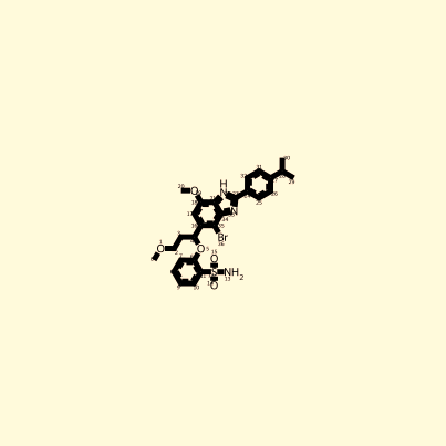 COCCC(Oc1ccccc1S(N)(=O)=O)c1cc(OC)c2[nH]c(-c3ccc(C(C)C)cc3)nc2c1Br